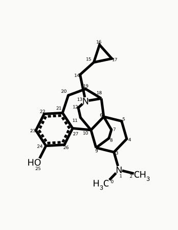 CN(C)C1CCC23CCC1C21CCN(CC2CC2)C3CCc2ccc(O)cc21